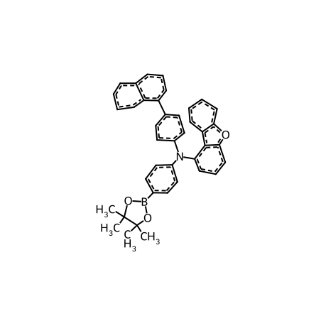 CC1(C)OB(c2ccc(N(c3ccc(-c4cccc5ccccc45)cc3)c3cccc4oc5ccccc5c34)cc2)OC1(C)C